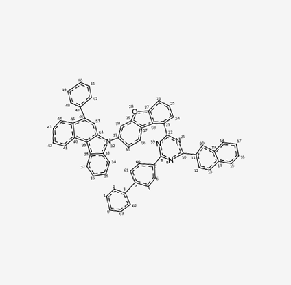 c1ccc(-c2ccc(-c3nc(-c4ccc5ccccc5c4)nc(-c4cccc5oc6cc(-n7c8ccccc8c8c9ccccc9c(-c9ccccc9)cc87)ccc6c45)n3)cc2)cc1